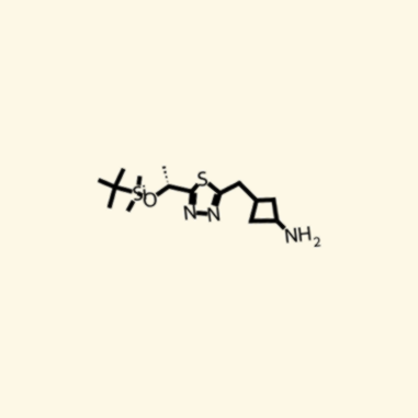 C[C@@H](O[Si](C)(C)C(C)(C)C)c1nnc(CC2CC(N)C2)s1